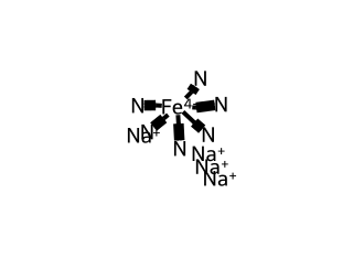 N#[C][Fe-4]([C]#N)([C]#N)([C]#N)([C]#N)[C]#N.[Na+].[Na+].[Na+].[Na+]